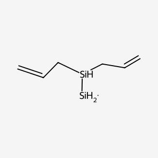 C=CC[SiH]([SiH2])CC=C